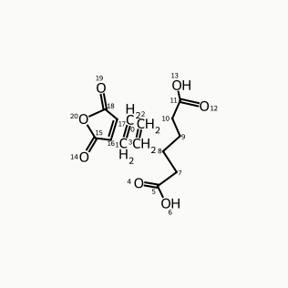 C=C.C=C.O=C(O)CCCCC(=O)O.O=C1C=CC(=O)O1